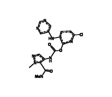 CNC(=O)c1c(NC(=O)Oc2nc(Cl)ccc2Nc2cncnc2)cnn1C